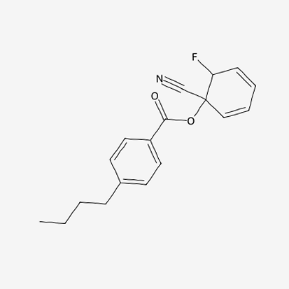 CCCCc1ccc(C(=O)OC2(C#N)C=CC=CC2F)cc1